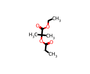 C[CH]C(=O)OC(C)(C)C(=O)OCC